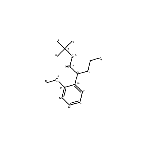 CCCC(NSC(C)(C)C)c1ccccc1OC